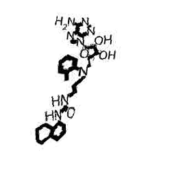 Cc1ccccc1N(CCCNC(=O)Nc1cccc2c1CCCC2)C[C@H]1O[C@@H](n2cnc3c(N)ncnc32)[C@H](O)[C@@H]1O